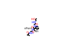 C=C(C)C(=O)NCC(=O)N(CCCCC)C(CC(C)C)(C(=O)NCC(=O)NCC(C)O)c1ccccc1